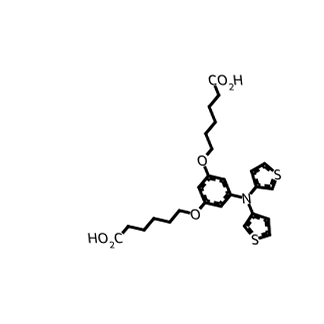 O=C(O)CCCCCOc1cc(OCCCCCC(=O)O)cc(N(c2ccsc2)c2ccsc2)c1